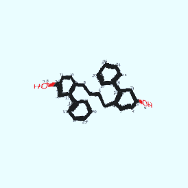 Oc1ccc(CCCCc2ccc(O)cc2-c2ccccc2)c(-c2ccccc2)c1